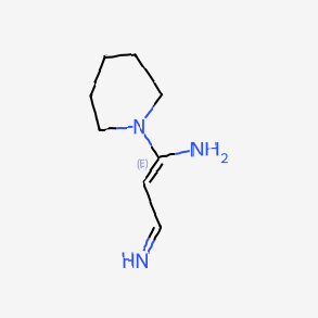 N=C/C=C(\N)N1CCCCC1